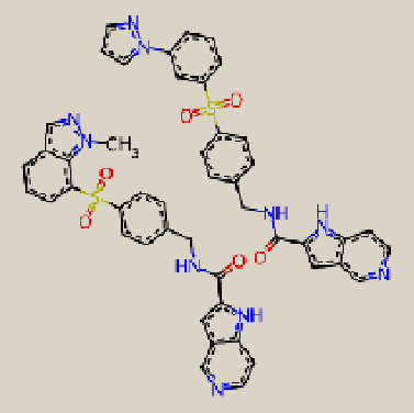 Cn1ncc2cccc(S(=O)(=O)c3ccc(CNC(=O)c4cc5cnccc5[nH]4)cc3)c21.O=C(NCc1ccc(S(=O)(=O)c2cccc(-n3cccn3)c2)cc1)c1cc2cnccc2[nH]1